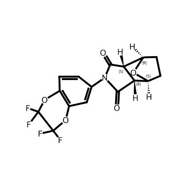 O=C1[C@@H]2[C@H](C(=O)N1c1ccc3c(c1)OC(F)(F)C(F)(F)O3)[C@H]1CC[C@@H]2O1